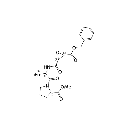 CC[C@H](C)[C@H](NC(=O)[C@H]1O[C@@H]1C(=O)OCc1ccccc1)C(=O)N1CCC[C@H]1C(=O)OC